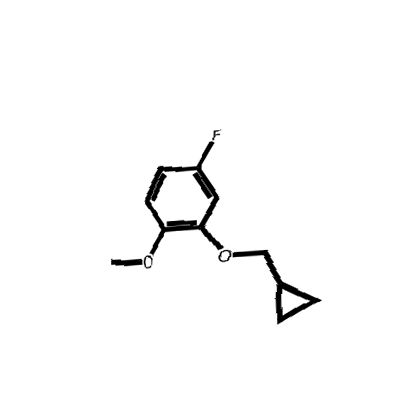 COc1ccc(F)cc1OCC1CC1